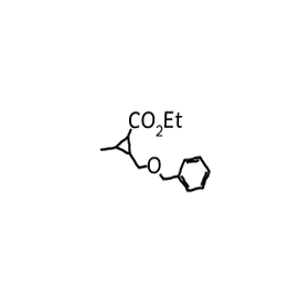 CCOC(=O)C1C(C)C1COCc1ccccc1